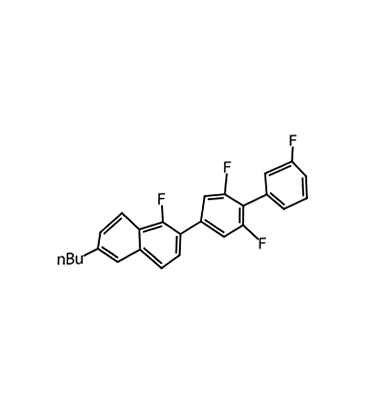 CCCCc1ccc2c(F)c(-c3cc(F)c(-c4cccc(F)c4)c(F)c3)ccc2c1